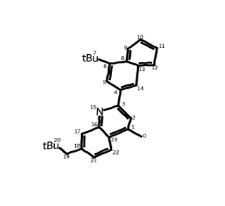 Cc1cc(-c2cc(C(C)(C)C)c3ccccc3c2)nc2cc(CC(C)(C)C)ccc12